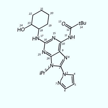 CC(C)n1c(-n2cccn2)nc2c(NC(=O)C(C)(C)C)nc(NC3CCCCC3O)nc21